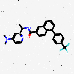 CC(NC(=O)c1ccc2c(-c3ccc(C(F)(F)F)cc3)cccc2c1)c1cc(N(C)C)ccn1